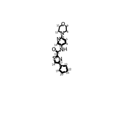 O=C(Nc1ccc(N2CCOCC2)nc1)c1nc(-c2ccccc2)cs1